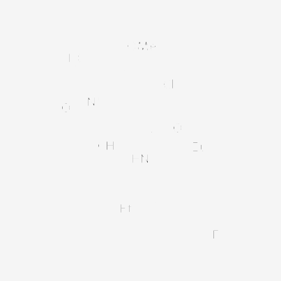 CCc1cc(F)cc(CC)c1NC(=O)c1c(Cl)c(OC)c(C)[n+]([O-])c1C